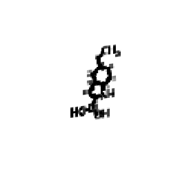 CCc1ccc2[nH]c(B(O)O)cc2c1